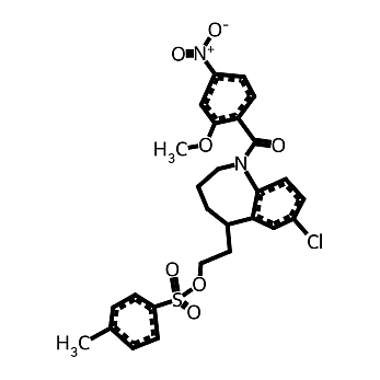 COc1cc([N+](=O)[O-])ccc1C(=O)N1CCCC(CCOS(=O)(=O)c2ccc(C)cc2)c2cc(Cl)ccc21